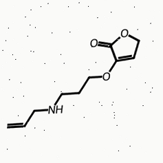 C=CCNCCCOC1=CCOC1=O